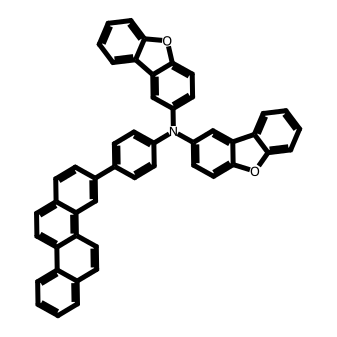 c1ccc2c(c1)ccc1c3cc(-c4ccc(N(c5ccc6oc7ccccc7c6c5)c5ccc6oc7ccccc7c6c5)cc4)ccc3ccc21